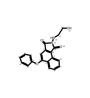 O=C1c2cc(Oc3ccccc3)c3ccccc3c2C(=O)N1NCCO